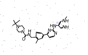 CN/C=C(\C=N)Nc1nccc(-c2ccc(CNC(=O)N3CCN(C(C)(C)C)CC3)c(C)c2)n1